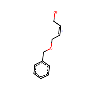 OC/C=C\COCc1ccccc1